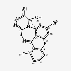 CCC1=NN=C2CN=C(c3c(F)cccc3F)c3ccc(Br)cc3N2C1O